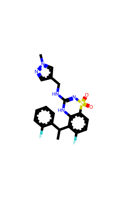 CC(c1ccccc1F)c1c(F)ccc2c1NC(NCc1cnn(C)c1)=NS2(=O)=O